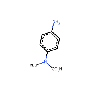 CCCCN(C(=O)O)c1ccc(N)cc1